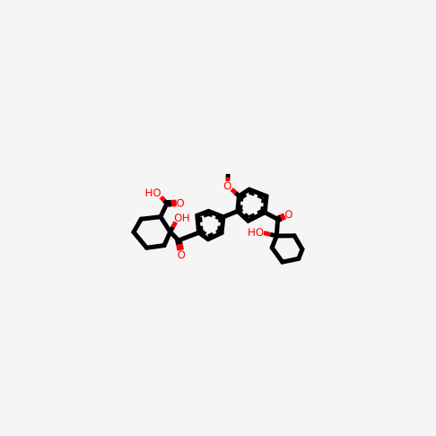 COc1ccc(C(=O)C2(O)CCCCC2)cc1-c1ccc(C(=O)C2(O)CCCCC2C(=O)O)cc1